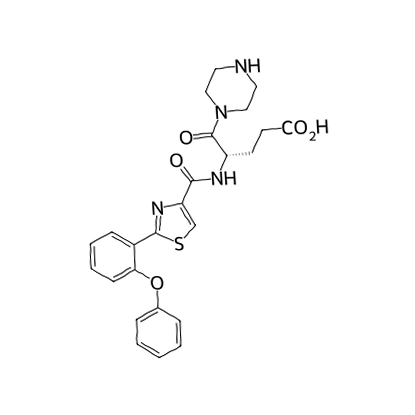 O=C(O)CC[C@H](NC(=O)c1csc(-c2ccccc2Oc2ccccc2)n1)C(=O)N1CCNCC1